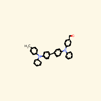 Cc1ccc(N(c2ccccc2)c2ccc(-c3ccc(N(c4ccccc4)c4ccc(C=O)cc4)cc3)cc2)cc1